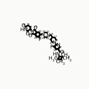 CC1(C)CC(C)(C)C1NC(=O)c1cnc(N2CCC(CN3CCN(c4cc5c(cc4F)C(=O)N(C4CCC(=O)NC4=O)C5=O)CC3)CC2)c(F)c1